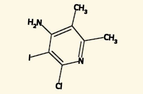 Cc1nc(Cl)c(I)c(N)c1C